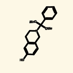 COC(OC)(c1ccccc1)N1CCc2cc(O)ccc2C1